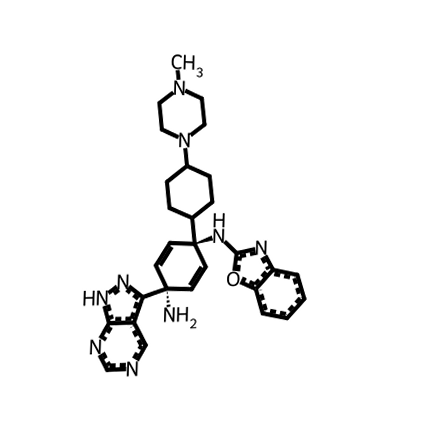 CN1CCN(C2CCC([C@]3(Nc4nc5ccccc5o4)C=C[C@@](N)(c4n[nH]c5ncncc54)C=C3)CC2)CC1